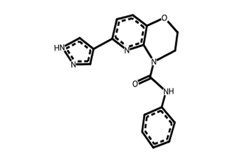 O=C(Nc1ccccc1)N1CCOc2ccc(-c3cn[nH]c3)nc21